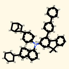 CC1(C)c2ccccc2-c2c(-c3ccc(-c4ccccc4)cc3)cc(N(c3ccc(C4CC5CCC4C5)cc3)c3cccc4cc(C5CCCCC5)ccc34)cc21